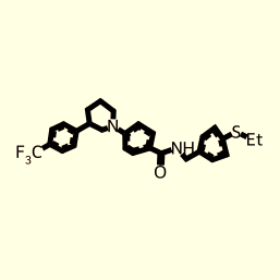 CCSc1ccc(CNC(=O)c2ccc(N3CCCC(c4ccc(C(F)(F)F)cc4)C3)cc2)cc1